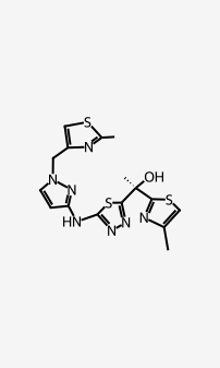 Cc1csc([C@](C)(O)c2nnc(Nc3ccn(Cc4csc(C)n4)n3)s2)n1